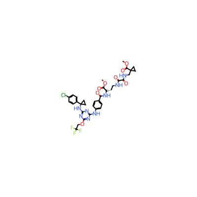 COC(=O)[C@H](CCNC(=O)C(=O)NCC1(C(=O)OC)CC1)NC(=O)c1ccc(Nc2nc(NC3(c4ccc(Cl)cc4)CC3)nc(OCC(F)(F)F)n2)cc1